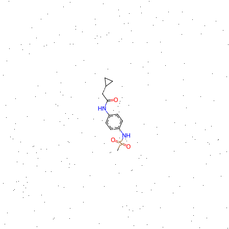 CS(=O)(=O)Nc1ccc(NC(=O)CC2CC2)cc1